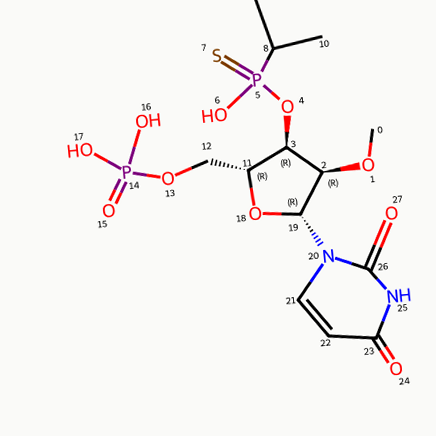 CO[C@@H]1[C@H](OP(O)(=S)C(C)C)[C@@H](COP(=O)(O)O)O[C@H]1n1ccc(=O)[nH]c1=O